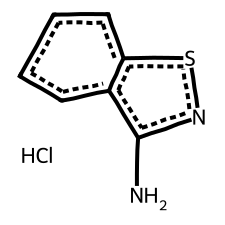 Cl.Nc1nsc2ccccc12